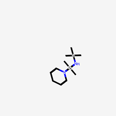 C[Si](C)(C)N[Si](C)(C)N1CCCCC1